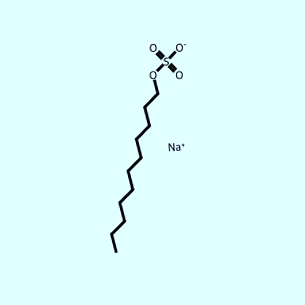 CCCCCCCCCCCOS(=O)(=O)[O-].[Na+]